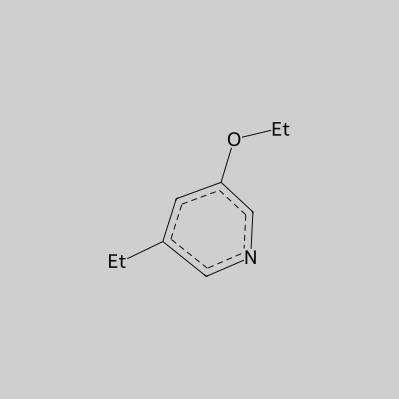 CCOc1cncc(CC)c1